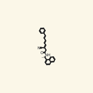 C[C@H](NC(=O)CC(C#N)=CC=CC=Cc1ccccc1)c1cccc2ccccc12